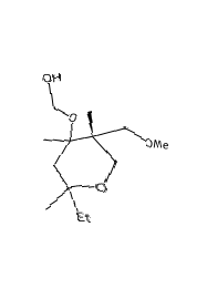 CCC1(C)CC(C)(OCO)[C@](C)(COC)CO1